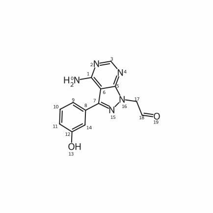 Nc1ncnc2c1c(-c1cccc(O)c1)nn2CC=O